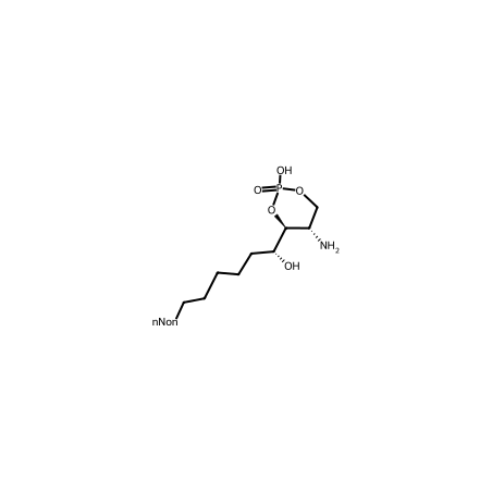 CCCCCCCCCCCCCC[C@@H](O)[C@H]1OP(=O)(O)OC[C@@H]1N